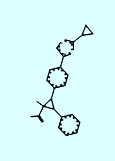 O=C(O)C1(F)C(c2ccccc2)C1c1ccc(-c2cnc(C3CC3)o2)cc1